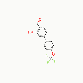 O=Cc1ccc(-c2ccc(OC(F)(F)F)cc2)cc1O